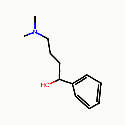 CN(C)CCCC(O)c1ccccc1